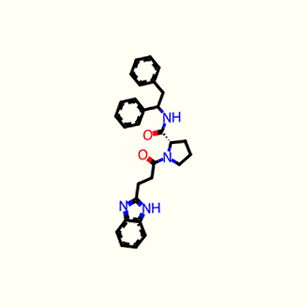 O=C(NC(Cc1ccccc1)c1ccccc1)[C@@H]1CCCN1C(=O)CCc1nc2ccccc2[nH]1